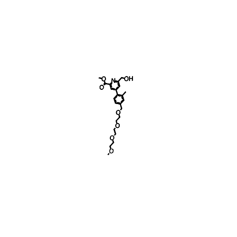 COCCOCCOCCOCc1ccc(-c2cc(CO)nc(C(=O)OC)c2)c(C)c1